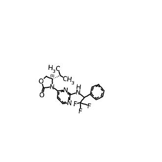 CC(C)[C@H]1COC(=O)N1c1ccnc(NC(c2ccccc2)C(F)(F)F)n1